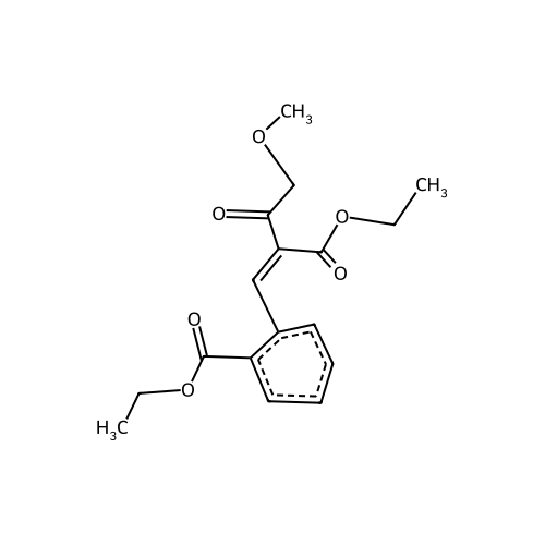 CCOC(=O)C(=Cc1ccccc1C(=O)OCC)C(=O)COC